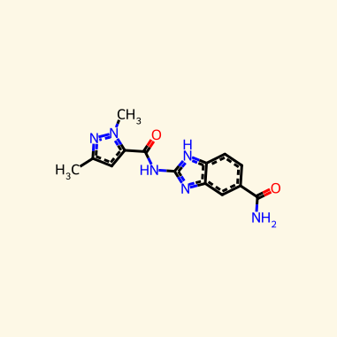 Cc1cc(C(=O)Nc2nc3cc(C(N)=O)ccc3[nH]2)n(C)n1